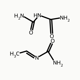 CC=NC(N)=O.NC(=O)NC(N)=O